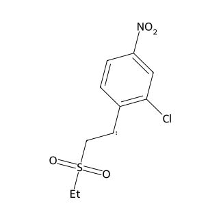 CCS(=O)(=O)C[C]c1ccc([N+](=O)[O-])cc1Cl